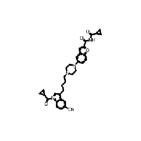 N#Cc1ccc2c(c1)c(CCCCN1CCN(c3ccc4oc(C(=O)NC(=O)C5CC5)cc4c3)CC1)cn2C(=O)C1CC1